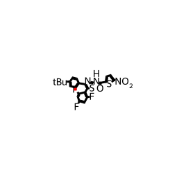 CC(C)(C)c1ccc(-c2nc(NC(=O)c3ccc([N+](=O)[O-])s3)sc2-c2c(F)cc(F)cc2F)cc1